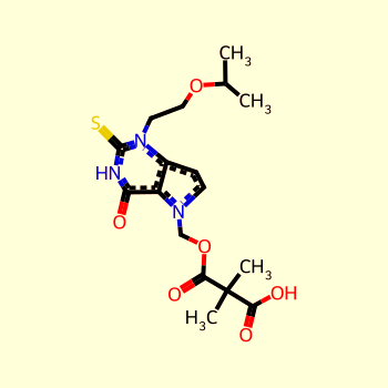 CC(C)OCCn1c(=S)[nH]c(=O)c2c1ccn2COC(=O)C(C)(C)C(=O)O